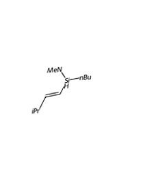 CCCC[SiH](C=CC(C)C)NC